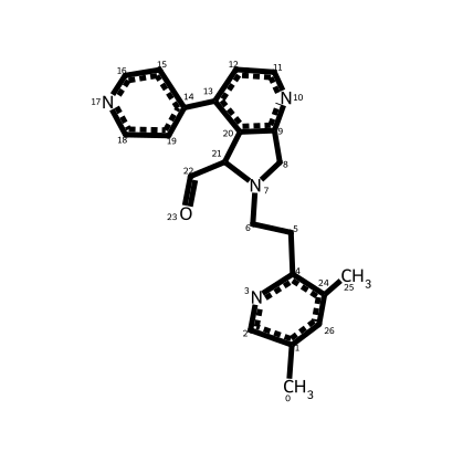 Cc1cnc(CCN2Cc3nccc(-c4ccncc4)c3C2C=O)c(C)c1